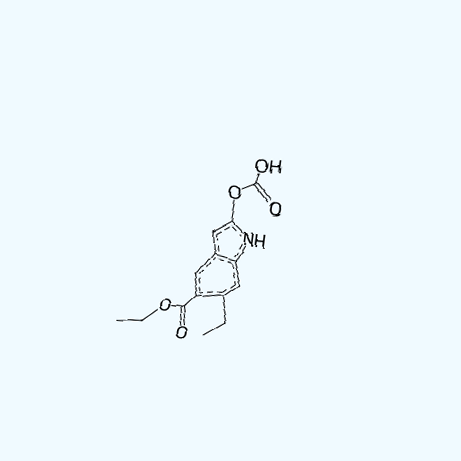 CCOC(=O)c1cc2cc(OC(=O)O)[nH]c2cc1CC